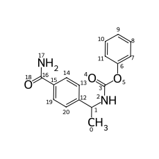 CC(NC(=O)Oc1ccccc1)c1ccc(C(N)=O)cc1